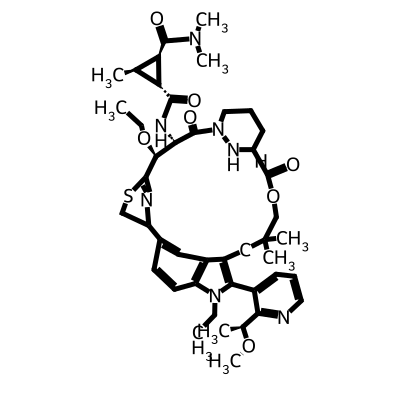 CCO[C@@H]1C2=NC(CS2)c2ccc3c(c2)c(c(-c2cccnc2[C@H](C)OC)n3CC)CC(C)(C)COC(=O)[C@@H]2CCCN(N2)C(=O)[C@H]1NC(=O)[C@@H]1[C@@H](C)[C@H]1C(=O)N(C)C